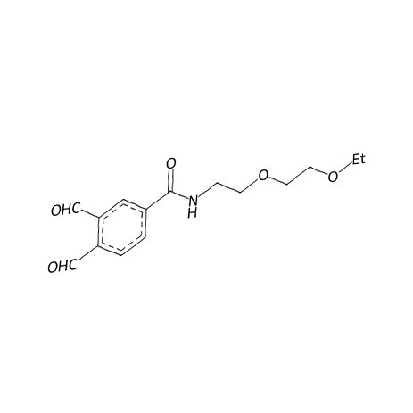 CCOCCOCCNC(=O)c1ccc(C=O)c(C=O)c1